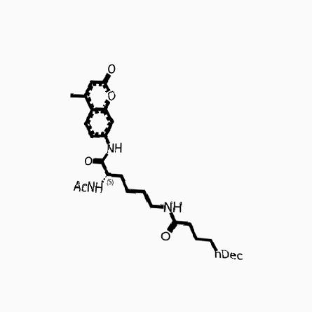 CCCCCCCCCCCCCC(=O)NCCCC[C@H](NC(C)=O)C(=O)Nc1ccc2c(C)cc(=O)oc2c1